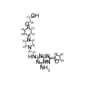 Nc1nc(NCCN2CCN(c3ccc(OCCO)cc3)CC2)nc2nc(-c3ccco3)nn12